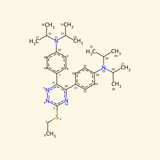 CCSc1nnc(-c2ccc(N(C(C)C)C(C)C)cc2)c(-c2ccc(N(C(C)C)C(C)C)cc2)n1